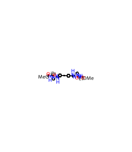 CCN(/N=C\OOC)C(=O)N1CCC[C@H]1c1ncc(-c2ccc(C#Cc3ccc4nc([C@@H]5CCCN5C(=O)[C@@H](NC(=O)OC)C(C)C)[nH]c4c3)cc2)[nH]1